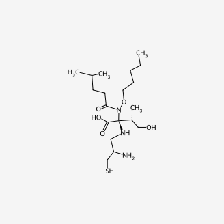 CCCCCON(C(=O)CCC(C)C)[C@@](NCC(N)CS)(C(=O)O)[C@H](C)CO